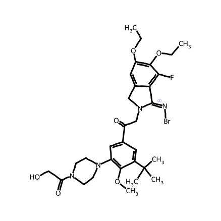 CCOc1cc2c(c(F)c1OCC)/C(=N/Br)N(CC(=O)c1cc(N3CCN(C(=O)CO)CC3)c(OC)c(C(C)(C)C)c1)C2